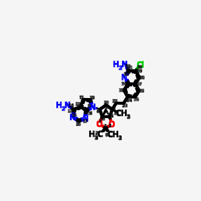 CC1(C)O[C@@]23C[C@@]2(O1)[C@H](n1ccc2c(N)ncnc21)C[C@]3(C)CCc1ccc2cc(Cl)c(N)nc2c1